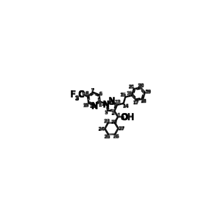 OC(c1cn(-c2ccc(C(F)(F)F)cn2)nc1CCc1ccccc1)C1CCCCC1